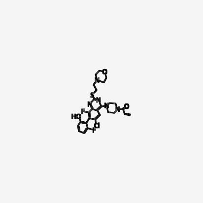 C=CC(=O)N1CCN(c2nc(SCCN3CCOCC3)nc3c(F)c(-c4c(O)cccc4F)c(Cl)cc23)CC1